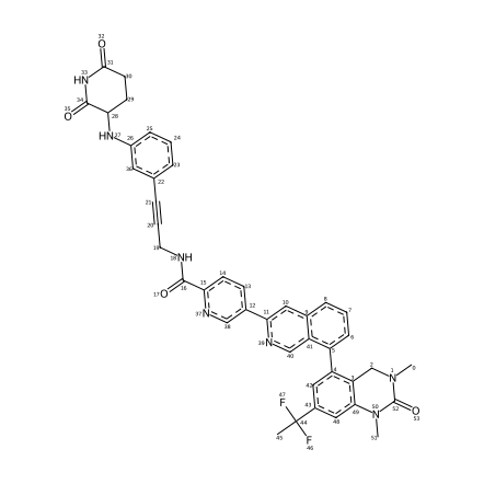 CN1Cc2c(-c3cccc4cc(-c5ccc(C(=O)NCC#Cc6cccc(NC7CCC(=O)NC7=O)c6)nc5)ncc34)cc(C(C)(F)F)cc2N(C)C1=O